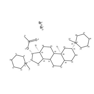 CC(=O)O[C@H]1[C@@H]([N+]2(C)CCCCC2)CC2C3CCC4CC[C@@H]([N+]5(C)CCCCC5)C[C@]4(C)C3CC[C@@]21C.[Br-].[Br-]